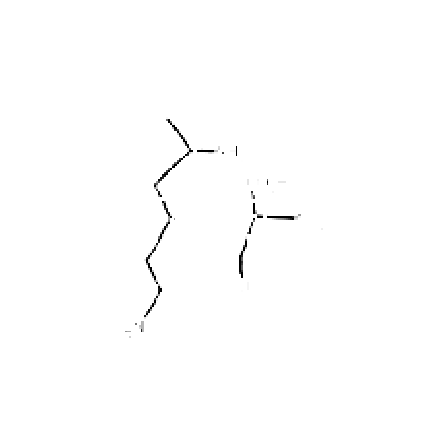 NC(CS)C(=O)O.NCCCCC(N)C(=O)O